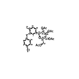 CCc1ccc(Cc2cc([C@@H]3O[C@H](COC(C)=O)[C@@H](OC(C)=O)[C@H](OC(C)=O)[C@H]3OC(C)=O)ccc2C)cc1